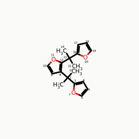 CC(C)(c1ccco1)c1ccoc1C(C)(C)c1ccco1